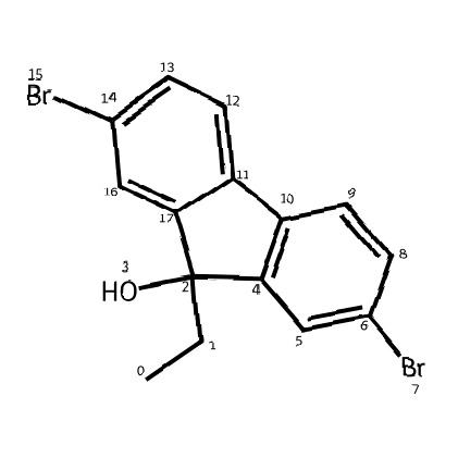 CCC1(O)c2cc(Br)ccc2-c2ccc(Br)cc21